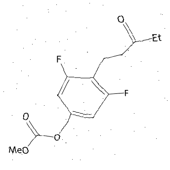 CCC(=O)CCc1c(F)cc(OC(=O)OC)cc1F